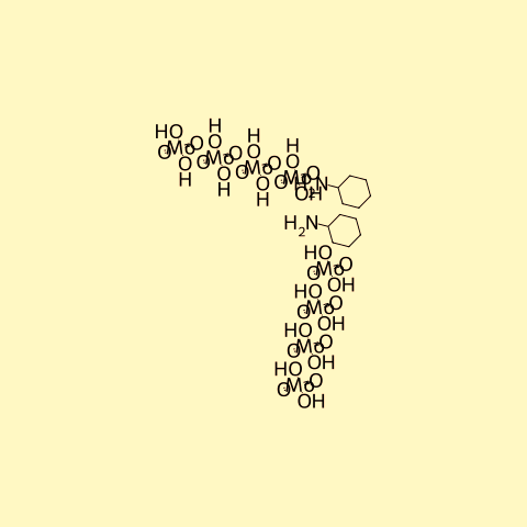 NC1CCCCC1.NC1CCCCC1.[O]=[Mo](=[O])([OH])[OH].[O]=[Mo](=[O])([OH])[OH].[O]=[Mo](=[O])([OH])[OH].[O]=[Mo](=[O])([OH])[OH].[O]=[Mo](=[O])([OH])[OH].[O]=[Mo](=[O])([OH])[OH].[O]=[Mo](=[O])([OH])[OH].[O]=[Mo](=[O])([OH])[OH]